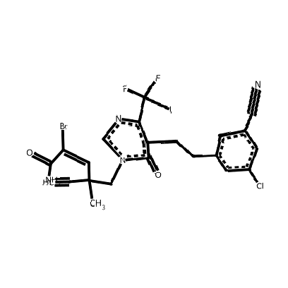 C#CC(C)(/C=C(/Br)C(N)=O)Cn1cnc(C(F)(F)I)c(CCc2cc(Cl)cc(C#N)c2)c1=O